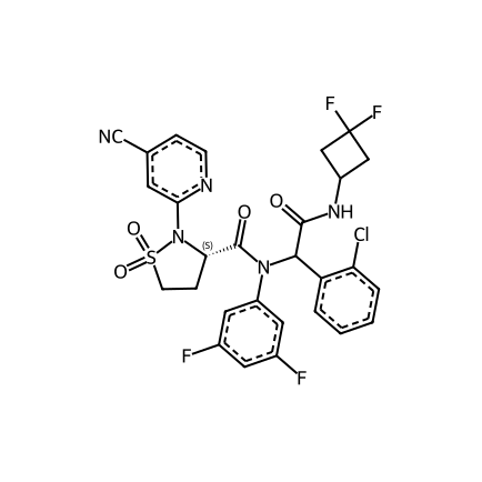 N#Cc1ccnc(N2[C@H](C(=O)N(c3cc(F)cc(F)c3)C(C(=O)NC3CC(F)(F)C3)c3ccccc3Cl)CCS2(=O)=O)c1